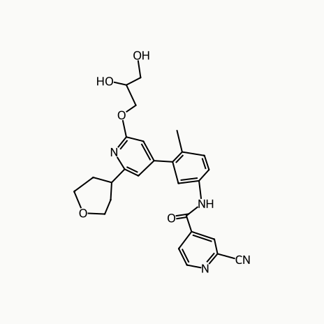 Cc1ccc(NC(=O)c2ccnc(C#N)c2)cc1-c1cc(OCC(O)CO)nc(C2CCOCC2)c1